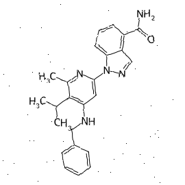 Cc1nc(-n2ncc3c(C(N)=O)cccc32)cc(NCc2ccccc2)c1C(C)C